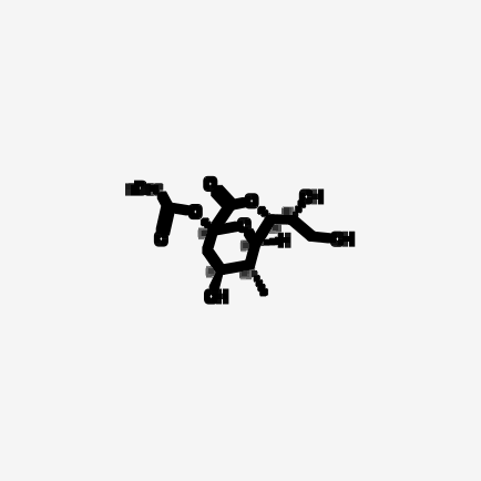 CCCCCCCCCCC(=O)O[C@@]12C[C@H](O)[C@@H](C)[C@@H](O1)[C@@H]([C@H](O)CO)OC2=O